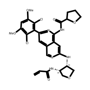 C=CC(=O)N[C@H]1COC[C@H]1Nc1cc2c(NC(=O)C3CCCO3)nc(-c3c(Cl)c(OC)cc(OC)c3Cl)cc2cn1